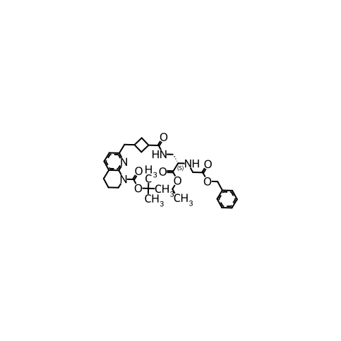 CCOC(=O)[C@H](CNC(=O)C1CC(Cc2ccc3c(n2)N(C(=O)OC(C)(C)C)CCC3)C1)NCC(=O)OCc1ccccc1